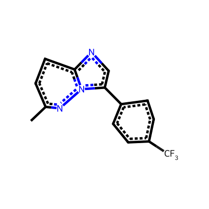 Cc1ccc2ncc(-c3ccc(C(F)(F)F)cc3)n2n1